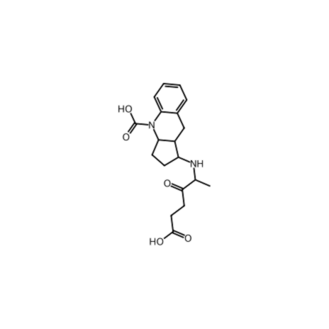 CC(NC1CCC2C1Cc1ccccc1N2C(=O)O)C(=O)CCC(=O)O